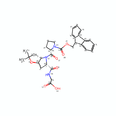 CC(C)(C)O[C@@H]1C[C@@H](C(=O)NCC(=O)O)N(C(=O)[C@@H]2CCCN2C(=O)OCC2c3ccccc3-c3ccccc32)C1